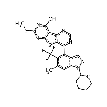 CSc1nc(O)c2c(n1)sc1c(-c3c(C(F)(F)F)c(C)cc4c3cnn4C3CCCCO3)ncnc12